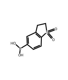 O=S1(=O)CCc2cc(B(O)O)ccc21